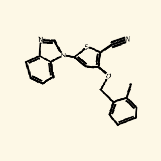 Cc1ccccc1COc1cc(-n2cnc3ccccc32)sc1C#N